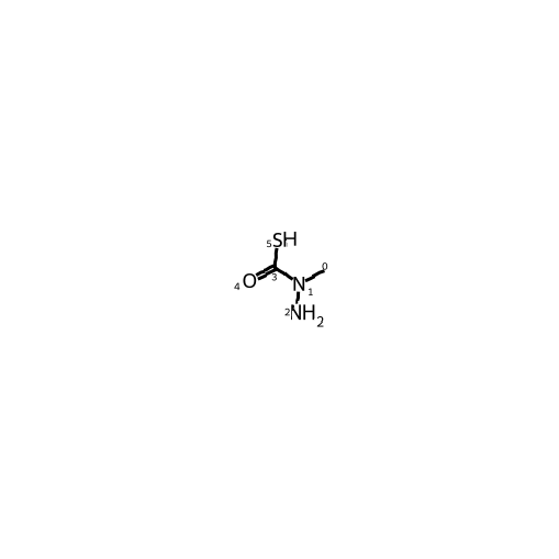 CN(N)C(=O)S